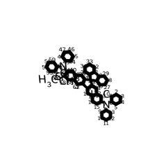 Cc1ccccc1N(c1ccccc1)c1ccc2cc3c(cc2c1)C1(c2ccccc2-c2ccccc21)c1cc2cc(N(c4ccccc4)c4ccccc4[Si](C)(C)C)ccc2cc1-3